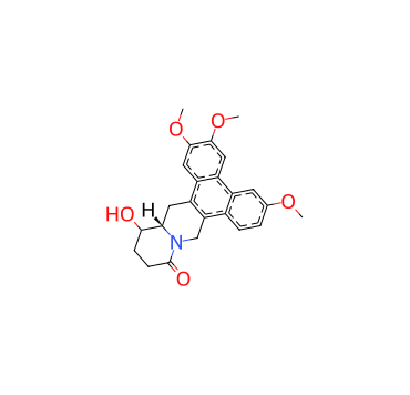 COc1ccc2c3c(c4cc(OC)c(OC)cc4c2c1)C[C@H]1C(O)CCC(=O)N1C3